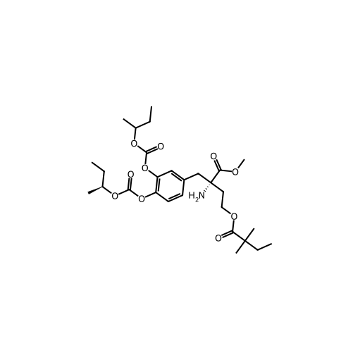 CCC(C)OC(=O)Oc1cc(C[C@](N)(CCOC(=O)C(C)(C)CC)C(=O)OC)ccc1OC(=O)O[C@@H](C)CC